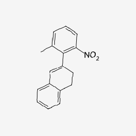 Cc1cccc([N+](=O)[O-])c1C1=Cc2ccccc2CC1